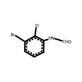 O=CNc1cccc(Br)c1Cl